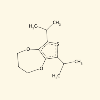 CC(C)c1sc(C(C)C)c2c1OCCCO2